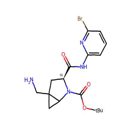 CC(C)(C)OC(=O)N1C2CC2(CN)C[C@H]1C(=O)Nc1cccc(Br)n1